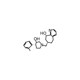 Cc1ccccc1[C@H]1CCN(C[C@@H]2CCc3cccnc3[C@@H](O)C2)C[C@@H]1O